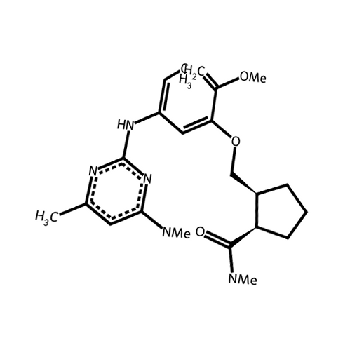 C=C(OC)/C(=C\C(=C/C)Nc1nc(C)cc(NC)n1)OC[C@H]1CCC[C@H]1C(=O)NC